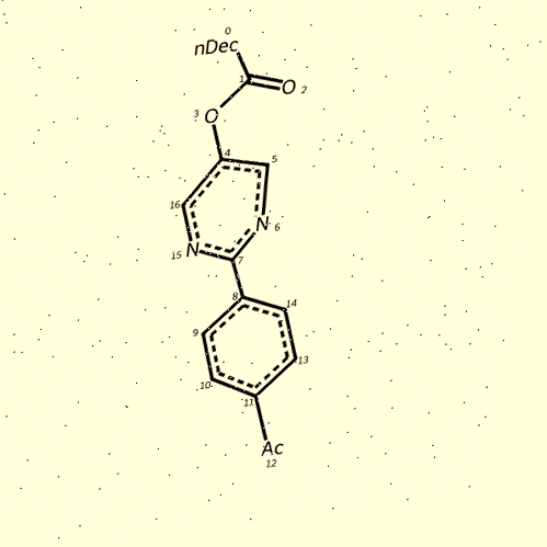 CCCCCCCCCCC(=O)Oc1cnc(-c2ccc(C(C)=O)cc2)nc1